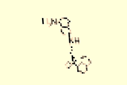 Nc1cccc2cc(NCCCN3C(=O)c4cccc5cccc3c45)ccc12